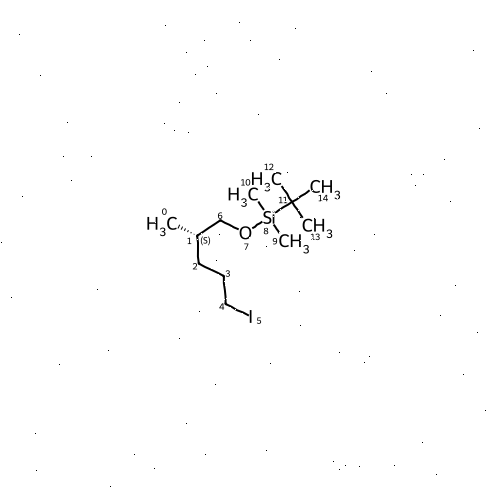 C[C@@H](CCCI)CO[Si](C)(C)C(C)(C)C